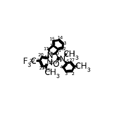 Cc1cccc(N(C)C(=O)[C@@H]2c3ccccc3CN2c2cc(C(F)(F)F)cc(C)n2)c1